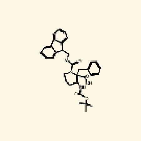 CC(C)(C)OC(=O)NC1CCCN(C(=O)OCC2c3ccccc3-c3ccccc32)[C@]1(Cc1ccccc1)C(=O)O